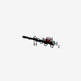 CCCCCCCCCCCCCC(=O)NCCOCCOCCNC(=O)C(CCCC(Br)C(N)=O)C(Br)C(N)=O